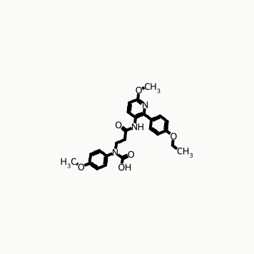 CCOc1ccc(-c2nc(OC)ccc2NC(=O)CCN(C(=O)O)c2ccc(OC)cc2)cc1